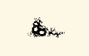 COC1=C2O[C@H]3C(OC(=O)[C@@H](N)CCC(=O)O)=C=C[C@H]4[C@H]5CC(C=C1)C2[C@@]34CCN5C